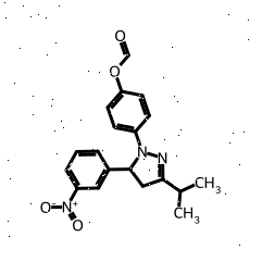 CC(C)C1=NN(c2ccc(OC=O)cc2)C(c2cccc([N+](=O)[O-])c2)C1